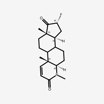 CN1C(=O)C=C[C@]2(C)C3CC[C@]4(C)C(=O)[C@H](F)C[C@H]4C3CC[C@@H]12